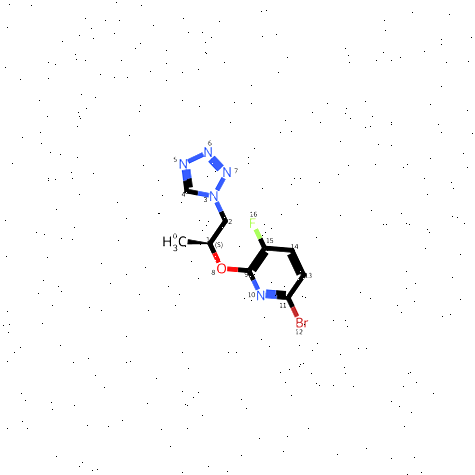 C[C@@H](Cn1cnnn1)Oc1nc(Br)ccc1F